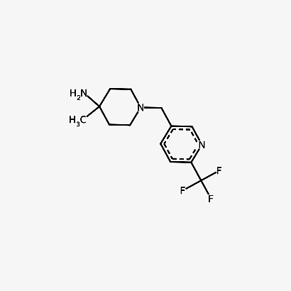 CC1(N)CCN(Cc2ccc(C(F)(F)F)nc2)CC1